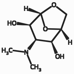 CN(C)[C@H]1[C@@H](O)[C@@H]2OC[C@@H](O2)[C@H]1O